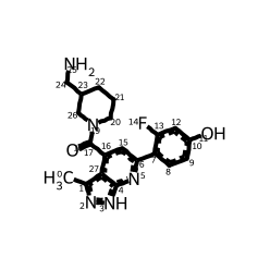 Cc1n[nH]c2nc(-c3ccc(O)cc3F)cc(C(=O)N3CCCC(CN)C3)c12